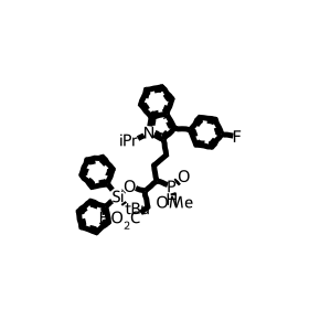 CO[PH](=O)C(CCc1c(-c2ccc(F)cc2)c2ccccc2n1C(C)C)C(CC(=O)O)O[Si](c1ccccc1)(c1ccccc1)C(C)(C)C